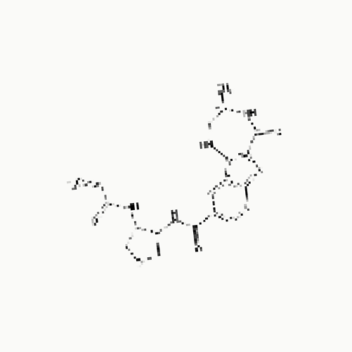 C=CC(=O)NC1COCC1NC(=O)c1ccc2sc3c(c2c1)NC[C@@H](C)NC3=O